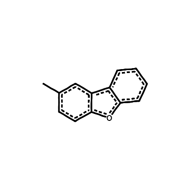 Cc1ccc2oc3ccccc3c2c1